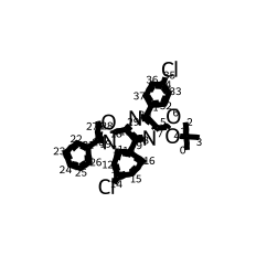 CC(C)(C)OC(=O)c1nc(-c2ccc(Cl)cc2)c(-c2nc(-c3ccccc3)co2)nc1-c1ccc(Cl)cc1